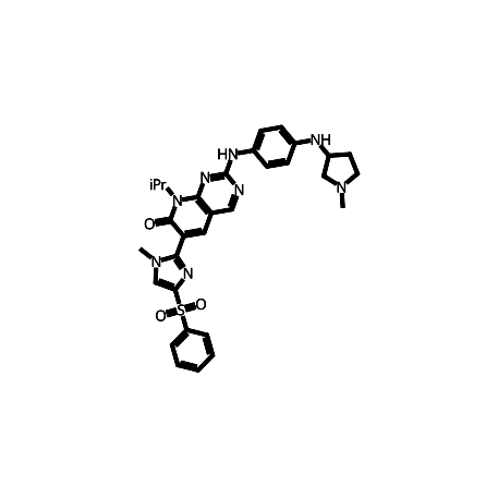 CC(C)n1c(=O)c(-c2nc(S(=O)(=O)c3ccccc3)cn2C)cc2cnc(Nc3ccc(NC4CCN(C)C4)cc3)nc21